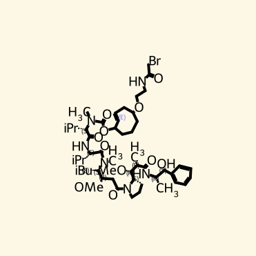 CC[C@H](C)[C@@H]([C@@H](CC(=O)N1CCC[C@H]1[C@H](OC)[C@@H](C)C(=O)N[C@H](C)[C@@H](O)c1ccccc1)OC)N(C)C(=O)[C@@H](NC(=O)[C@H](C(C)C)N(C)C(=O)OC1/C=C/CC(OCCNC(=O)CBr)CCC1)C(C)C